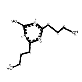 OCCCc1nc(O)nc(CCCO)n1